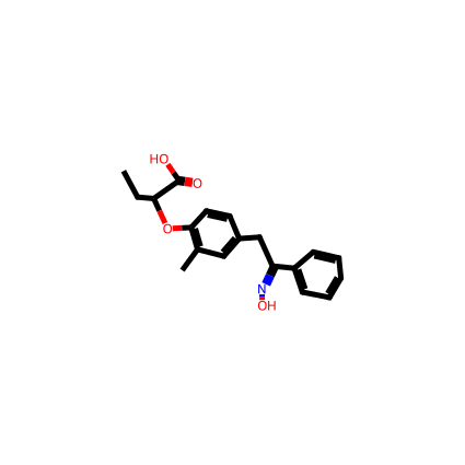 CCC(Oc1ccc(CC(=NO)c2ccccc2)cc1C)C(=O)O